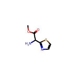 COC(=O)C(N)c1nccs1